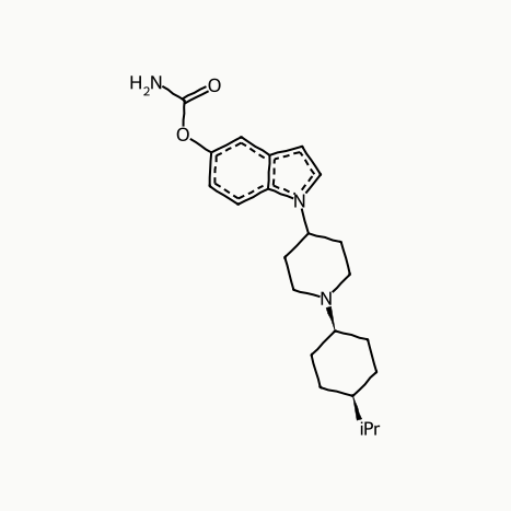 CC(C)[C@H]1CC[C@@H](N2CCC(n3ccc4cc(OC(N)=O)ccc43)CC2)CC1